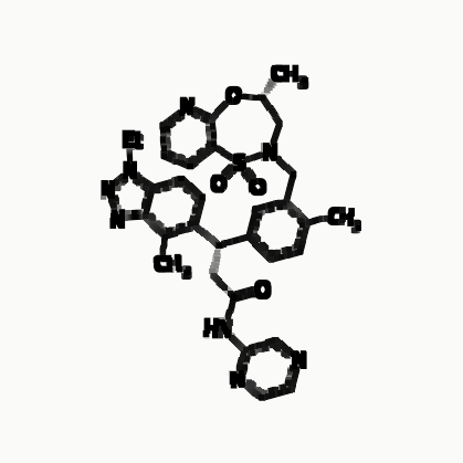 CCn1nnc2c(C)c([C@@H](CC(=O)Nc3cnccn3)c3ccc(C)c(CN4C[C@@H](C)Oc5ncccc5S4(=O)=O)c3)ccc21